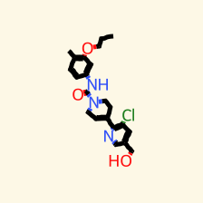 CCCOc1cc(NC(=O)N2CC=C(c3ncc(CO)cc3Cl)CC2)ccc1C